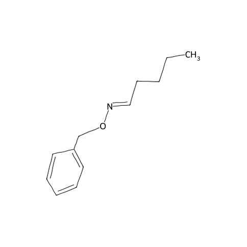 CCCCC=NOCc1ccccc1